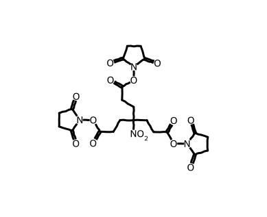 O=C(CCC(CCC(=O)ON1C(=O)CCC1=O)(CCC(=O)ON1C(=O)CCC1=O)[N+](=O)[O-])ON1C(=O)CCC1=O